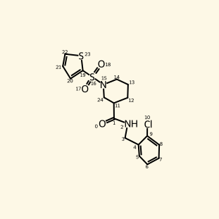 O=C(NCc1ccccc1Cl)C1CCCN(S(=O)(=O)c2cccs2)C1